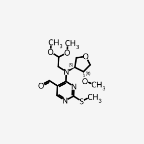 COC(CN(c1nc(SC)ncc1C=O)[C@H]1COC[C@@H]1OC)OC